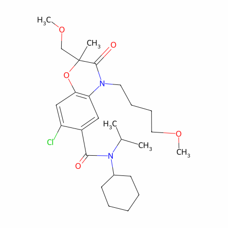 COCCCCN1C(=O)C(C)(COC)Oc2cc(Cl)c(C(=O)N(C(C)C)C3CCCCC3)cc21